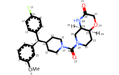 COc1cccc([C@@H](c2ccc(F)cc2)C2CCN(C(=O)N3CC[C@@H]4OCC(=O)N[C@@H]4C3)CC2)c1